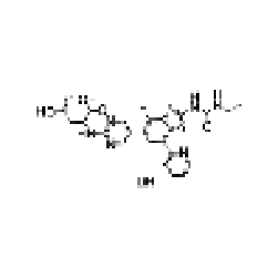 CCNC(=O)Nc1nc2c(F)c(-c3cnc(NC(CC(=O)O)C(=O)O)nc3)cc(-c3ccccn3)c2s1.[LiH]